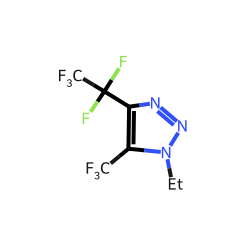 CCn1nnc(C(F)(F)C(F)(F)F)c1C(F)(F)F